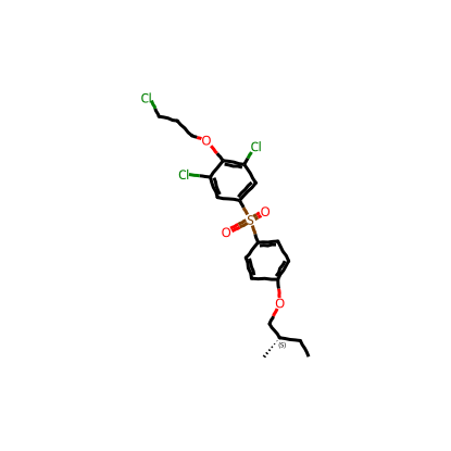 CC[C@H](C)COc1ccc(S(=O)(=O)c2cc(Cl)c(OCCCCl)c(Cl)c2)cc1